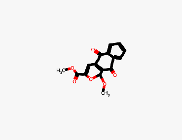 COC(=O)C1=CC2=C(C(=O)c3ccccc3C2=O)C(OC)O1